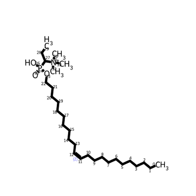 CCCCCCCCCCC/C=C\CCCCCCCCCCOP(=O)(O)C(CC)[N+](C)(C)C